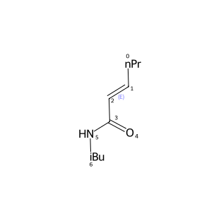 CCC/C=C/C(=O)NC(C)CC